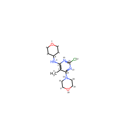 Cc1c(NC2CCOCC2)nc(Cl)nc1N1CCOCC1